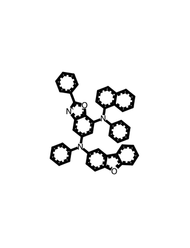 c1ccc(-c2nc3cc(N(c4ccccc4)c4ccc5oc6ccccc6c5c4)cc(N(c4ccccc4)c4cccc5ccccc45)c3o2)cc1